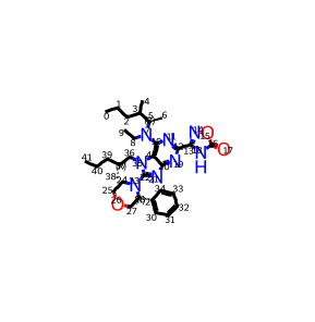 CCCC(C)[C@@H](C)N(CC)c1nc(-c2noc(=O)[nH]2)nc2nc(N3CCOC[C@H]3c3ccccc3)n(C[C@H](C)CCC)c12